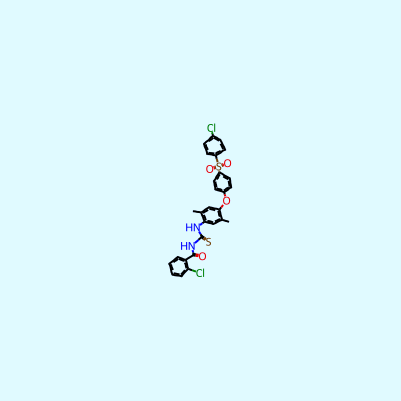 Cc1cc(Oc2ccc(S(=O)(=O)c3ccc(Cl)cc3)cc2)c(C)cc1NC(=S)NC(=O)c1ccccc1Cl